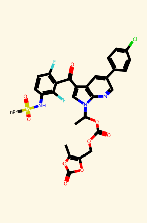 CCCS(=O)(=O)Nc1ccc(F)c(C(=O)c2cn(C(C)OC(=O)OCc3oc(=O)oc3C)c3ncc(-c4ccc(Cl)cc4)cc23)c1F